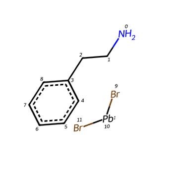 NCCc1ccccc1.[Br][Pb][Br]